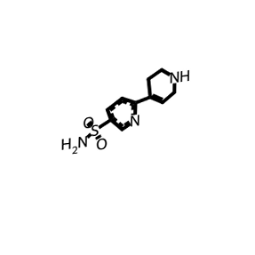 NS(=O)(=O)c1ccc(C2=CCNCC2)nc1